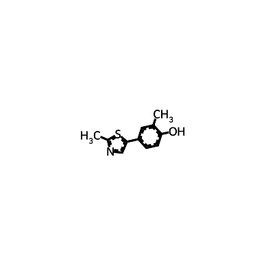 Cc1ncc(-c2ccc(O)c(C)c2)s1